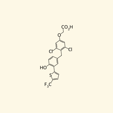 O=C(O)COc1cc(Cl)c(Cc2ccc(O)c(-c3ccc(C(F)(F)F)s3)c2)c(Cl)c1